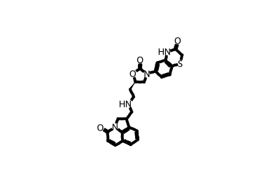 O=C1CSc2ccc(N3C[C@@H](CCNCC4Cn5c(=O)ccc6cccc4c65)OC3=O)cc2N1